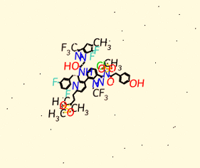 C[C@@H]1Cc2c(C(F)(F)F)nn(CC(O)N[C@@H](Cc3cc(F)cc(F)c3)c3nc(CCC(C)(C)S(C)(=O)=O)ccc3-c3ccc(Cl)c4c(N(C(=O)Cc5ccc(O)cc5)S(C)(=O)=O)nn(CC(F)(F)F)c34)c2C1(F)F